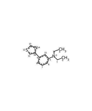 CCN(CC)c1cccc(-c2cs[c]n2)c1